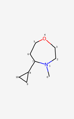 CN1CCOCCC1C1CC1